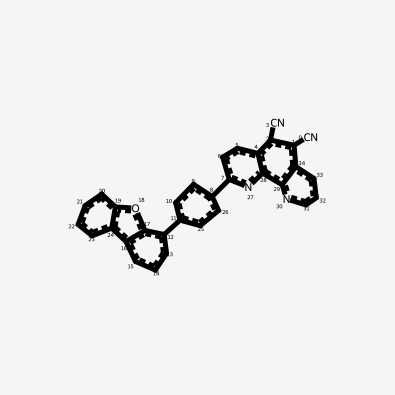 N#Cc1c(C#N)c2ccc(-c3ccc(-c4cccc5c4oc4ccccc45)cc3)nc2c2ncccc12